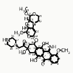 COc1cccc2c1C(=N)c1c(O)c3c(c(O)c1C2=O)CC(O)(C(=O)CN1CCNCC1)CC3O[C@H]1C=C2[C@H](O[C@@H]3[C@@H](OC)OCCN23)[C@H](C)O1